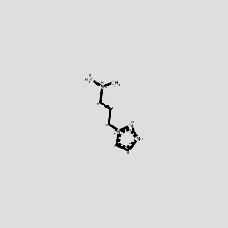 C[SiH](C)CCCn1ccnn1